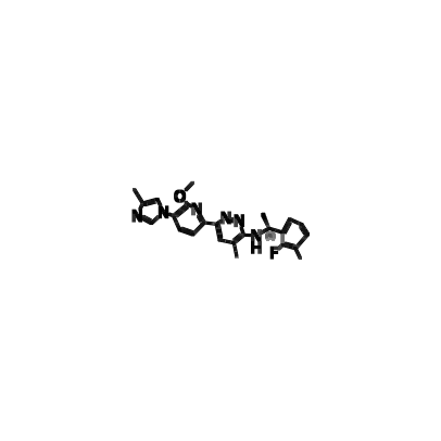 COc1nc(-c2cc(C)c(N[C@@H](C)c3cccc(C)c3F)nn2)ccc1-n1cnc(C)c1